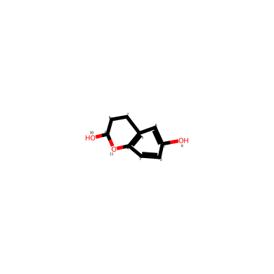 Oc1ccc2c(c1)CCC(O)O2